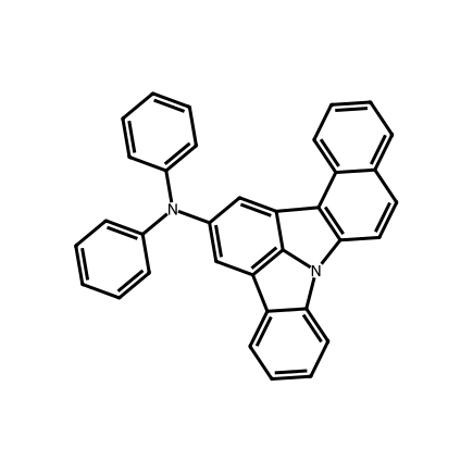 c1ccc(N(c2ccccc2)c2cc3c4ccccc4n4c5ccc6ccccc6c5c(c2)c34)cc1